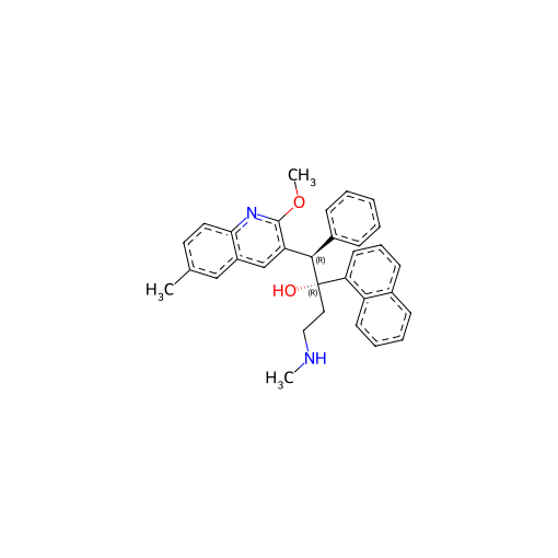 CNCC[C@](O)(c1cccc2ccccc12)[C@H](c1ccccc1)c1cc2cc(C)ccc2nc1OC